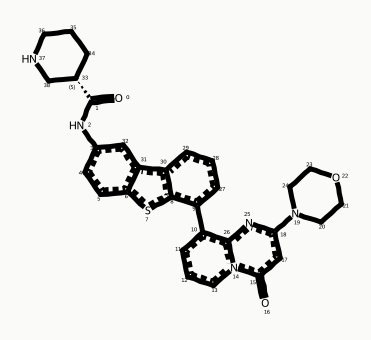 O=C(Nc1ccc2sc3c(-c4cccn5c(=O)cc(N6CCOCC6)nc45)cccc3c2c1)[C@H]1CCCNC1